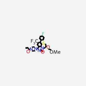 C=CC(=O)N1CCN(c2nc(=O)n3c4c(c(-c5ccc(F)cc5)c(C(F)(F)F)cc24)SC[C@H](OCCOC)C3)CC1